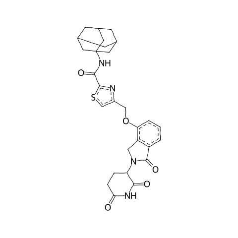 O=C1CCC(N2Cc3c(OCc4csc(C(=O)NC56CC7CC(CC(C7)C5)C6)n4)cccc3C2=O)C(=O)N1